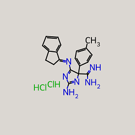 Cc1ccc(C2(C(=N)N)N=C(N)N=C2N=C2CCc3ccccc32)cc1.Cl.Cl